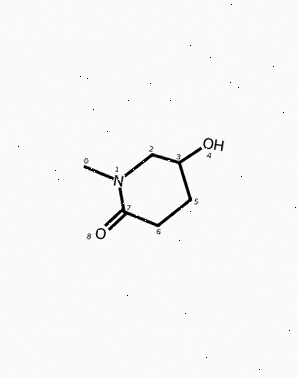 CN1CC(O)CCC1=O